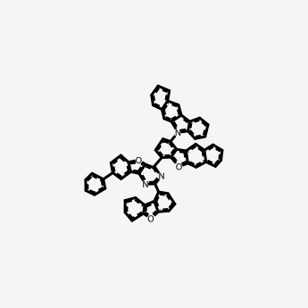 c1ccc(-c2ccc3oc4c(-c5ccc(-n6c7ccccc7c7cc8ccccc8cc76)c6c5oc5cc7ccccc7cc56)nc(-c5cccc6oc7ccccc7c56)nc4c3c2)cc1